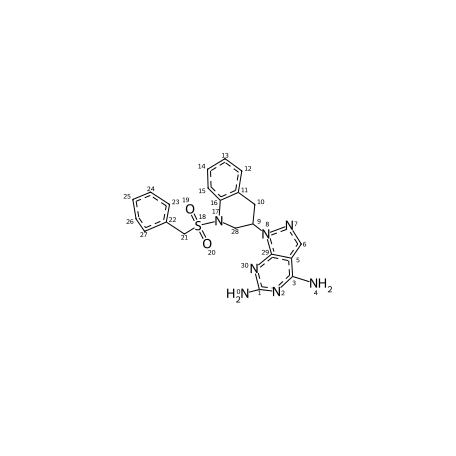 Nc1nc(N)c2cnn(C3Cc4ccccc4N(S(=O)(=O)Cc4ccccc4)C3)c2n1